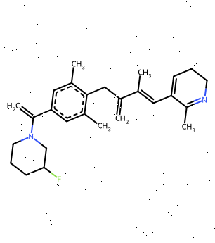 C=C(Cc1c(C)cc(C(=C)N2CCCC(F)C2)cc1C)/C(C)=C/C1=CCCN=C1C